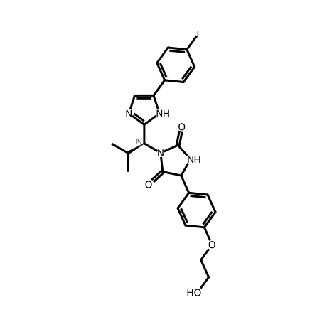 CC(C)[C@@H](c1ncc(-c2ccc(I)cc2)[nH]1)N1C(=O)NC(c2ccc(OCCO)cc2)C1=O